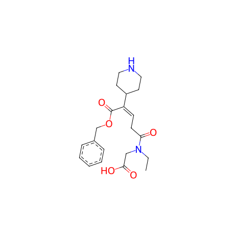 CCN(CC(=O)O)C(=O)CC=C(C(=O)OCc1ccccc1)C1CCNCC1